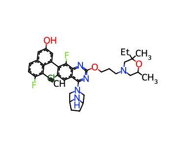 C#Cc1c(F)ccc2cc(O)cc(-c3c(Cl)cc4c(N5CC6CCC(C5)N6)nc(OCCCN5CC(C)OC(C)(CC)C5)nc4c3F)c12